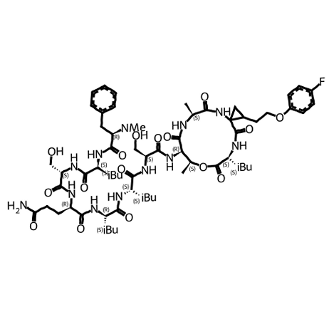 CC[C@H](C)[C@H](NC(=O)[C@@H](Cc1ccccc1)NC)C(=O)N[C@@H](CO)C(=O)N[C@H](CCC(N)=O)C(=O)N[C@@H](C(=O)N[C@H](C(=O)N[C@@H](CO)C(=O)N[C@H]1C(=O)N[C@@H](C)C(=O)NC2(CC2CCOc2ccc(F)cc2)C(=O)N[C@@H]([C@@H](C)CC)C(=O)O[C@H]1C)[C@@H](C)CC)[C@@H](C)CC